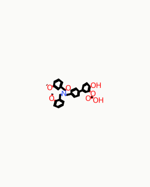 COc1cccc(C(=O)N(Cc2ccc(-c3ccc(O)c(OC(=O)O)c3)cc2)Cc2ccccc2OC)c1